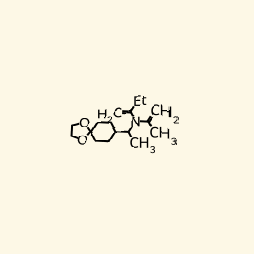 C=C(C)N(C(=C)CC)C(C)C1CCC2(CC1)OCCO2